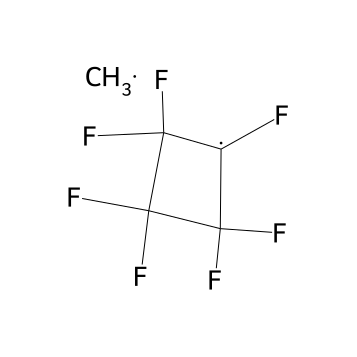 F[C]1C(F)(F)C(F)(F)C1(F)F.[CH3]